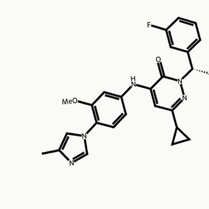 COc1cc(Nc2cc(C3CC3)nn([C@@H](C)c3cccc(F)c3)c2=O)ccc1-n1cnc(C)c1